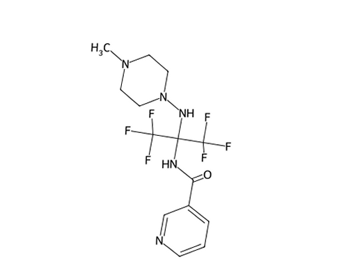 CN1CCN(NC(NC(=O)c2cccnc2)(C(F)(F)F)C(F)(F)F)CC1